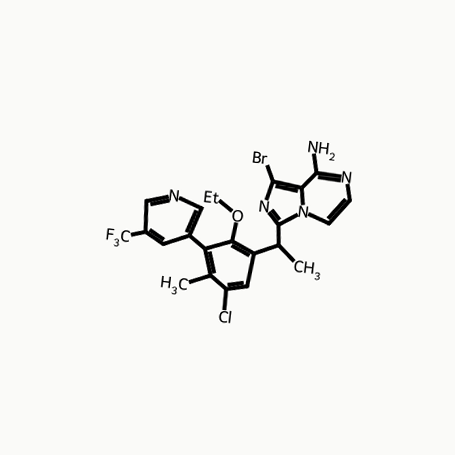 CCOc1c(C(C)c2nc(Br)c3c(N)nccn23)cc(Cl)c(C)c1-c1cncc(C(F)(F)F)c1